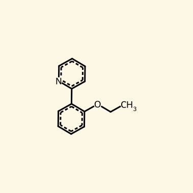 CCOc1ccccc1-c1ccccn1